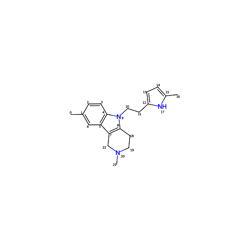 Cc1ccc2c(c1)c1c(n2CCc2ccc(C)[nH]2)CCN(C)C1